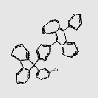 Brc1cccc(C2(c3ccc(-c4c5ccccc5c(-c5ccccc5)c5ccccc45)cc3)c3ccccc3-c3ccccc32)c1